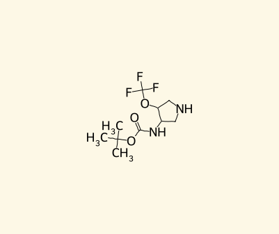 CC(C)(C)OC(=O)NC1CNCC1OC(F)(F)F